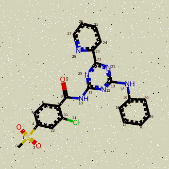 CS(=O)(=O)c1ccc(C(=O)Nc2nc(Nc3ccccc3)nc(-c3ccccn3)n2)c(Cl)c1